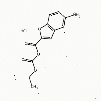 CCOC(=O)OC(=O)c1cc2cc(N)ccc2o1.Cl